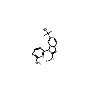 CCOc1nc2ccc(C(C)(C)O)cc2n1-c1ccnc(N)n1